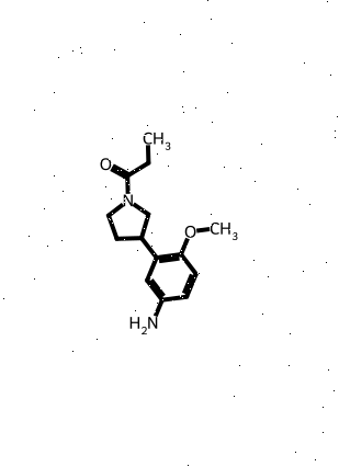 CCC(=O)N1CCC(c2cc(N)ccc2OC)C1